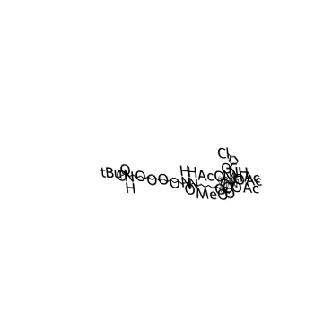 COC(=O)[C@@]1(OCCCCCCNC(=O)NCCOCCOCCOCCOCCNC(=O)OC(C)(C)C)C[C@H](OC(C)=O)[C@@H](NC(C)=O)[C@H]([C@H](OC(C)=O)[C@@H](CNC(=O)c2cccc(Cl)c2)OC(C)=O)O1